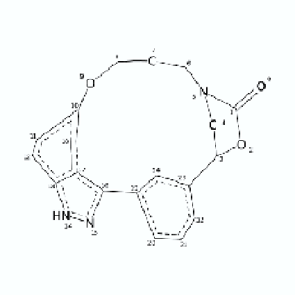 O=C1OC2CN1CCCOc1ccc3[nH]nc(c3c1)-c1cccc2c1